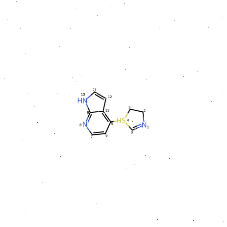 C1=NCC[SH]1c1ccnc2[nH]ccc12